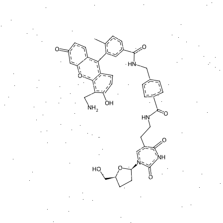 Cc1ccc(C(=O)NCc2ccc(C(=O)NCCc3cn([C@H]4CC[C@@H](CO)O4)c(=O)[nH]c3=O)cc2)cc1-c1c2ccc(=O)cc-2oc2c(CN)c(O)ccc12